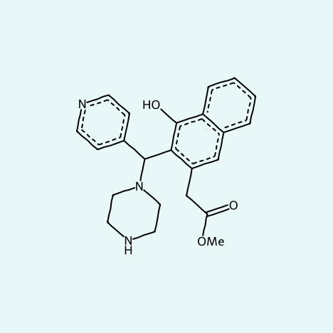 COC(=O)Cc1cc2ccccc2c(O)c1C(c1ccncc1)N1CCNCC1